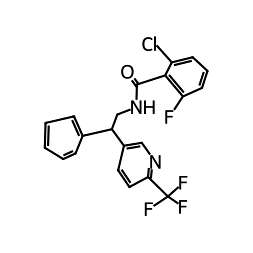 O=C(NCC(c1ccccc1)c1ccc(C(F)(F)F)nc1)c1c(F)cccc1Cl